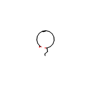 CCCC1CCCCCC/C=C\CCCCC(=O)O1